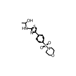 CC(O)Nc1nc(-c2ccc(S(=O)(=O)N3CCOCC3)cc2)cs1